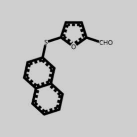 O=Cc1ccc(Sc2ccc3ccccc3c2)o1